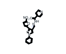 O=C(N/N=C/c1cn(-c2ccccc2)nc1-c1ccc([N+](=O)[O-])o1)c1ccncc1